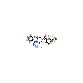 C=C1CN(C(=O)c2cccc(C(F)(F)F)c2Cl)CCN1/C(=N\N)c1ccncc1